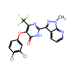 Cn1nc(-c2nc(C(F)(F)F)c(Oc3ccc(Cl)c(Cl)c3)c(=O)[nH]2)c2cccnc21